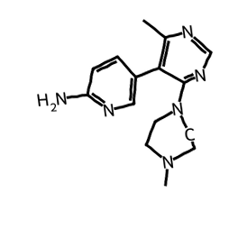 Cc1ncnc(N2CCN(C)CC2)c1-c1ccc(N)nc1